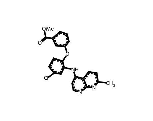 COC(=O)c1cccc(Oc2ccc(Cl)cc2Nc2ccnc3nc(C)ccc23)c1